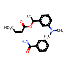 CCC(OC(=O)/C=C\C(=O)O)c1cccc(N(C)C)c1.NC(=O)c1ccccc1